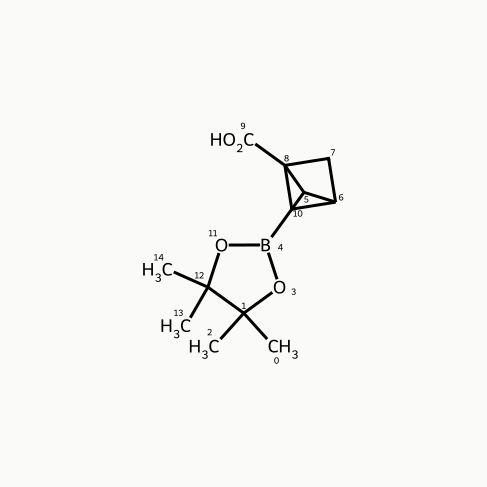 CC1(C)OB(C2C3CC2(C(=O)O)C3)OC1(C)C